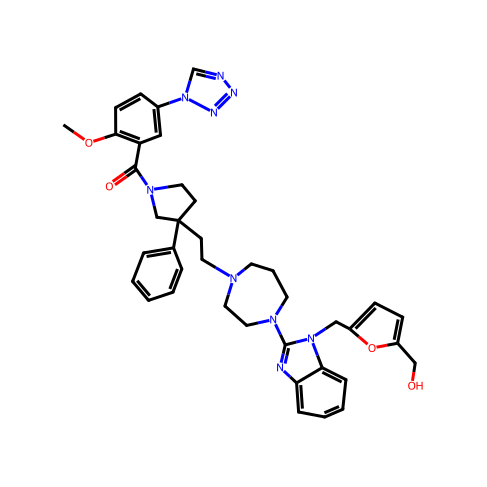 COc1ccc(-n2cnnn2)cc1C(=O)N1CCC(CCN2CCCN(c3nc4ccccc4n3Cc3ccc(CO)o3)CC2)(c2ccccc2)C1